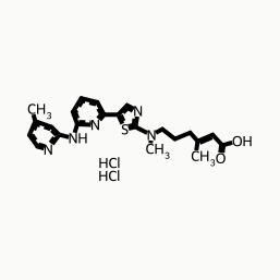 C/C(=C\C(=O)O)CCCN(C)c1ncc(-c2cccc(Nc3cc(C)ccn3)n2)s1.Cl.Cl